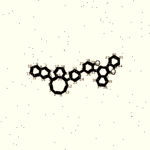 c1cccc(-c2ccc3ccccc3c2)c2ccccc2c(-c2ccc(-c3ccc4oc5c(c4c3)c3ccccc3c3oc4ccccc4c35)cc2)cc1